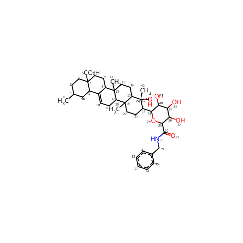 CC1CCC2(C(=O)O)CCC3C(=CCC4C3(C)CCC3C4(C)CCC(C4OC(C(=O)NCc5ccccc5)C(O)C(O)C4O)[C@@]3(C)O)C2C1